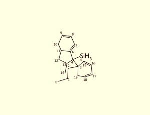 CCCC1(C2([SiH3])C3=CC=CCC3CC2C)C=CC=CC1